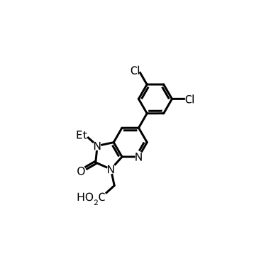 CCn1c(=O)n(CC(=O)O)c2ncc(-c3cc(Cl)cc(Cl)c3)cc21